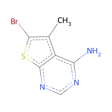 Cc1c(Br)sc2ncnc(N)c12